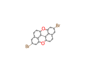 Brc1cc2ccc3oc4cc(Br)cc5ccc6oc(c1)c2c3-c6c54